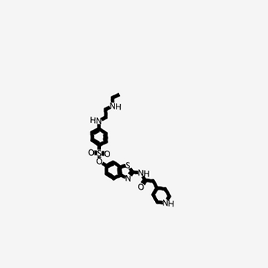 CCNCCNc1ccc(S(=O)(=O)Oc2ccc3nc(NC(=O)CC4CCNCC4)sc3c2)cc1